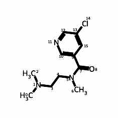 CN(C)CCN(C)C(=O)c1cncc(Cl)c1